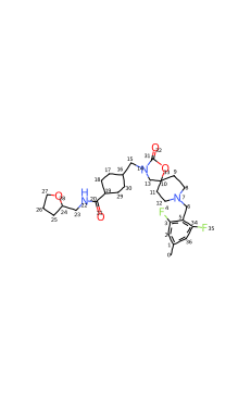 Cc1cc(F)c(CN2CCC3(CC2)CN(CC2CCC(C(=O)NCC4CCCO4)CC2)C(=O)O3)c(F)c1